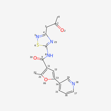 CC(=O)Cc1nsc(NC(=O)c2cc(-c3cccnc3)oc2C)n1